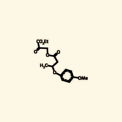 CCOC(=O)C(=O)COC(=O)CC(C)Oc1ccc(OC)cc1